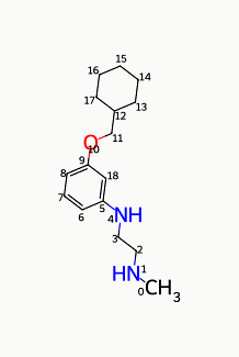 CNCCNc1cccc(OCC2CCCCC2)c1